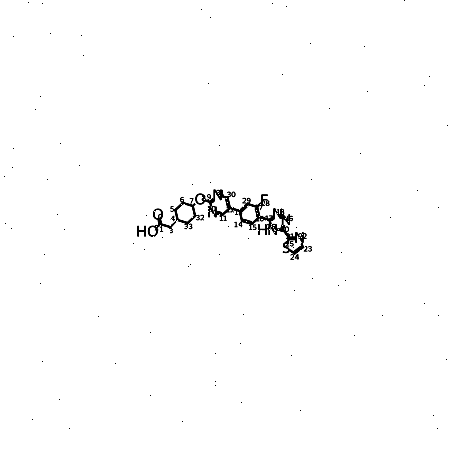 O=C(O)C[C@H]1CC[C@@H](Oc2ncc(-c3ccc(-c4nnc(-c5nccs5)[nH]4)c(F)c3)cn2)CC1